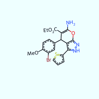 CCOC(=O)C1=C(N)Oc2n[nH]c(-c3cccs3)c2C1c1ccc(OC)c(Br)c1